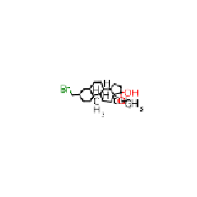 COC1(O)CC[C@H]2[C@@H]3CCC4CC(CBr)CC[C@]4(C)[C@@H]3CC[C@@]21C